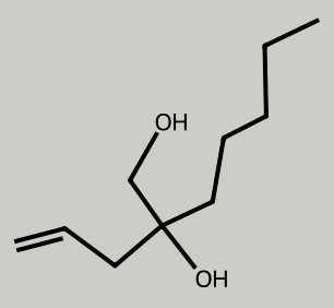 C=CCC(O)(CO)CCCCC